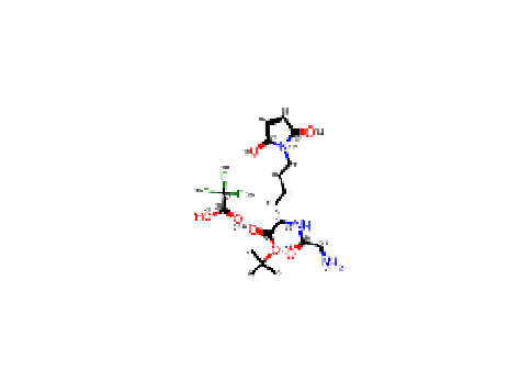 CC(C)(C)OC(=O)[C@H](CCCCN1C(=O)C=CC1=O)NC(=O)CN.O=C(O)C(F)(F)F